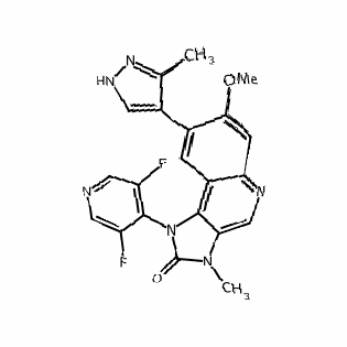 COc1cc2ncc3c(c2cc1-c1c[nH]nc1C)n(-c1c(F)cncc1F)c(=O)n3C